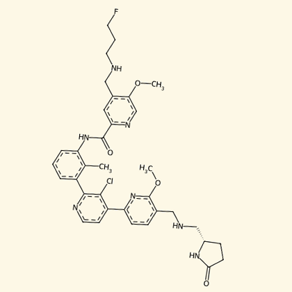 COc1cnc(C(=O)Nc2cccc(-c3nccc(-c4ccc(CNC[C@@H]5CCC(=O)N5)c(OC)n4)c3Cl)c2C)cc1CNCCCF